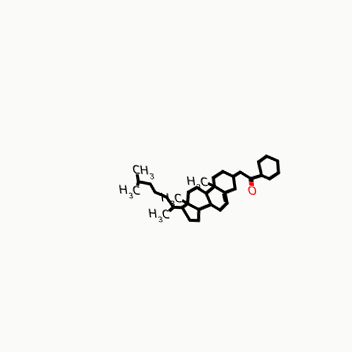 CC(C)CCCC(C)C1CCC2C3CC=C4CC(CC(=O)C5CCCCC5)CCC4(C)C3CCC12C